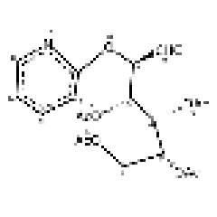 CC(=O)OC[C@@H](OC(C)=O)[C@@H](OC(C)=O)[C@H](OC(C)=O)[C@H](C=O)Oc1ccccn1